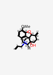 C=CCN1CC[C@@]23c4c5ccc(OC)c4OC2C(=C)CC[C@]3(O)[C@@H]1C5